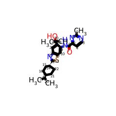 Cc1nccc(C(=O)Nc2cc3sc([C@H]4CC[C@H](C(C)C)CC4)nc3cc2C(C)(C)O)n1